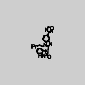 CC(C)CCn1c(Cn2c(=O)[nH]c3ccccc32)nc2cc(-c3ncon3)ccc21